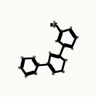 Cc1cccc(C2=CC(c3ccccc3)=CCC2)c1